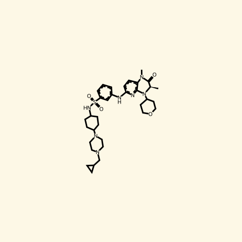 C[C@@H]1C(=O)N(C)c2ccc(Nc3cccc(S(=O)(=O)NC4CCC(N5CCN(CC6CC6)CC5)CC4)c3)nc2N1C1CCOCC1